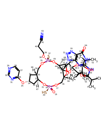 CC(C)C(=O)Nc1nc2c(nnn2[C@@H]2O[C@@H]3CO[P@@](=O)(S)O[C@H]4C[C@H](Oc5ccncn5)C[C@@H]4CO[P@](=S)(OCCC#N)O[C@@H]2[C@@H]3O[Si](O[Si](O)(C(C)C)C(C)C)(C(C)C)C(C)C)c(=O)[nH]1